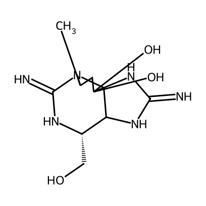 CC1CC(O)(O)C23NC(=N)NC2[C@H](CO)NC(=N)N13